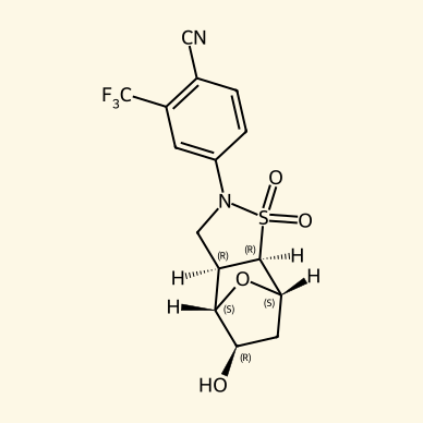 N#Cc1ccc(N2C[C@@H]3[C@@H]4O[C@@H](C[C@H]4O)[C@@H]3S2(=O)=O)cc1C(F)(F)F